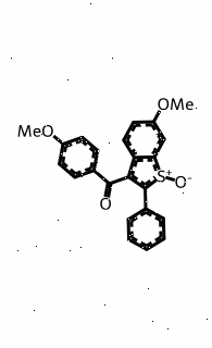 COc1ccc(C(=O)c2c(-c3ccccc3)[s+]([O-])c3cc(OC)ccc23)cc1